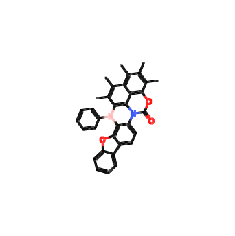 Cc1c(C)c2c3c4c(c(C)c(C)c3c1C)B(c1ccccc1)c1c(ccc3c1oc1ccccc13)N4C(=O)O2